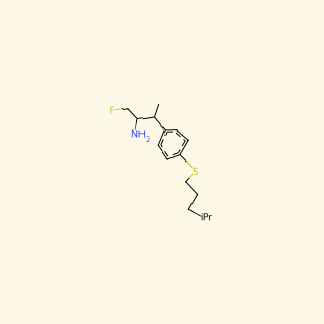 CC(C)CCCSc1ccc(C(C)C(N)CF)cc1